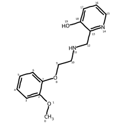 COc1ccccc1OCCNCc1ncccc1O